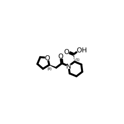 O=C(O)[C@@H]1CCCCN1C(=O)C[C@H]1CCCO1